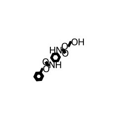 O=C(N[C@H]1CC[C@H](NC(=O)OCc2ccccc2)CC1)OCCO